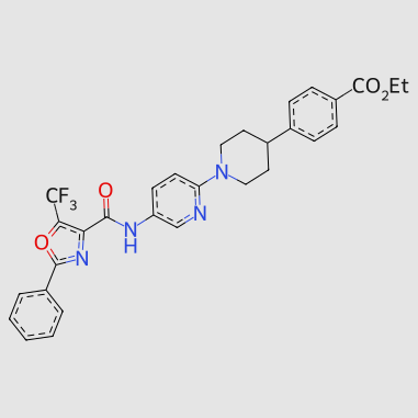 CCOC(=O)c1ccc(C2CCN(c3ccc(NC(=O)c4nc(-c5ccccc5)oc4C(F)(F)F)cn3)CC2)cc1